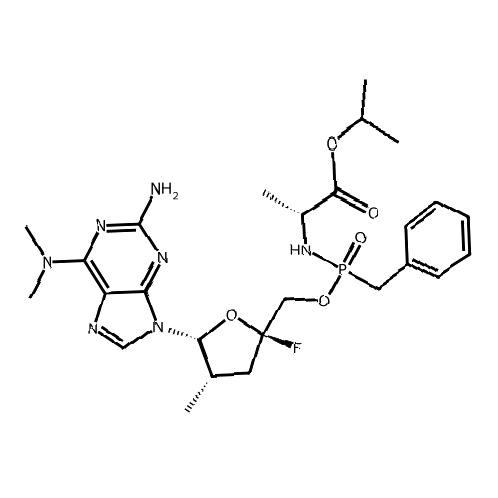 CC(C)OC(=O)[C@@H](C)NP(=O)(Cc1ccccc1)OC[C@]1(F)C[C@H](C)[C@H](n2cnc3c(N(C)C)nc(N)nc32)O1